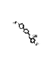 CCCc1ccc(CCC2CCC(C3CCC(CCC)CC3)CC2)c(C#N)c1